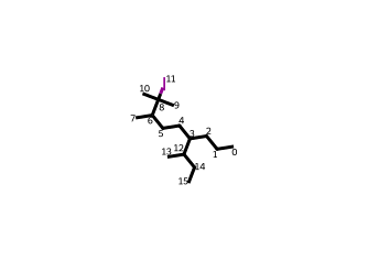 CCCC(CCC(C)C(C)(C)I)C(C)CC